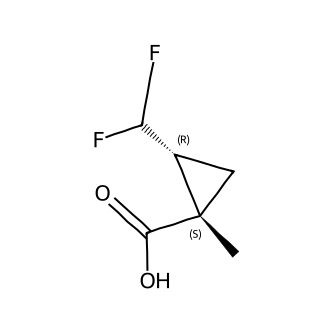 C[C@]1(C(=O)O)C[C@H]1C(F)F